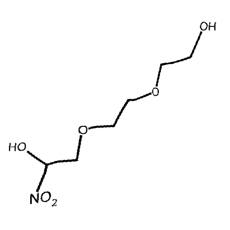 O=[N+]([O-])C(O)COCCOCCO